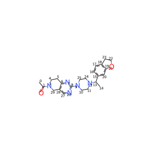 CC(=O)N1CCc2nc(N3CCN(C(C)c4ccc5c(c4)OCC5)CC3)ncc2C1